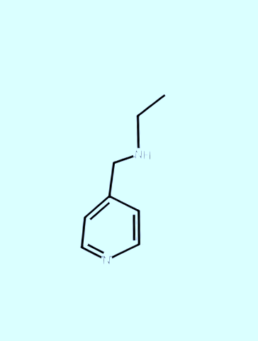 CCNCc1c[c]ncc1